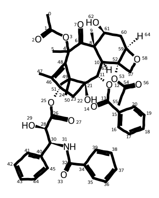 CC(=O)OC1(C)C(=O)[C@@]2(C)[C@H]([C@H](OC(=O)c3ccccc3)[C@]3(O)C[C@H](OC(=O)[C@H](O)[C@@H](NC(=O)c4ccccc4)c4ccccc4)C(C)=C1C3(C)C)[C@]1(OC(C)=O)CO[C@@H]1C[C@@H]2O